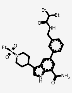 CCC(CC)C(=O)NCc1cccc(-c2cc(C(N)=O)c3[nH]cc(C4CCN(S(=O)(=O)CC)CC4)c3c2)c1